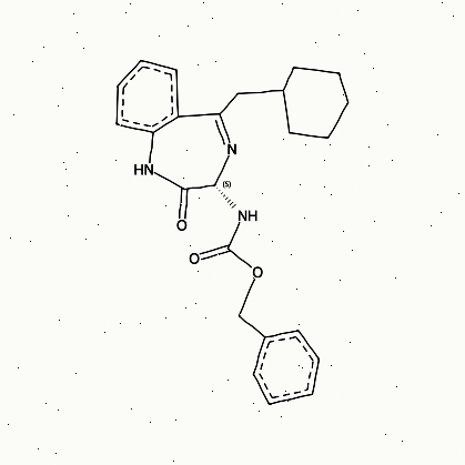 O=C(N[C@H]1N=C(CC2CCCCC2)c2ccccc2NC1=O)OCc1ccccc1